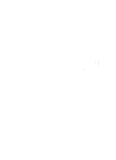 O=C(c1ccccc1)C1C=CC(O)(Cl)C=C1